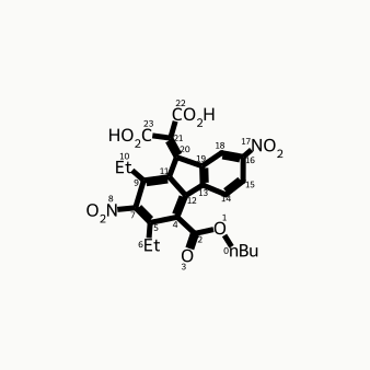 CCCCOC(=O)c1c(CC)c([N+](=O)[O-])c(CC)c2c1-c1ccc([N+](=O)[O-])cc1C2=C(C(=O)O)C(=O)O